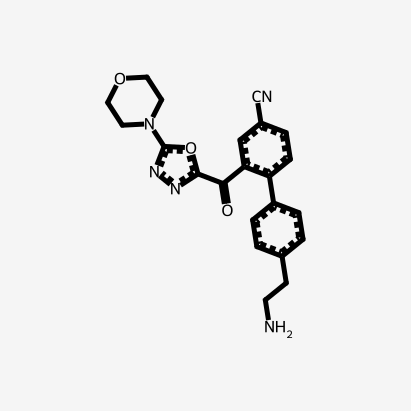 N#Cc1ccc(-c2ccc(CCN)cc2)c(C(=O)c2nnc(N3CCOCC3)o2)c1